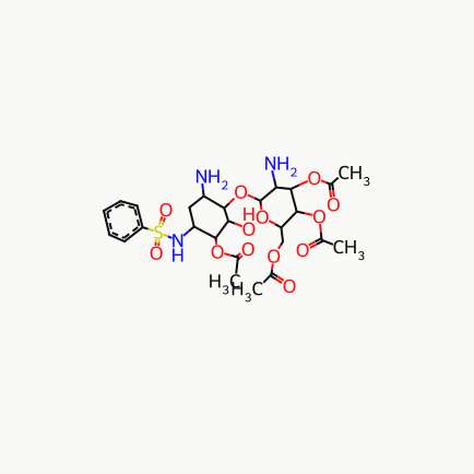 CC(=O)OCC1OC(OC2C(N)CC(NS(=O)(=O)c3ccccc3)C(OC(C)=O)C2O)C(N)C(OC(C)=O)C1OC(C)=O